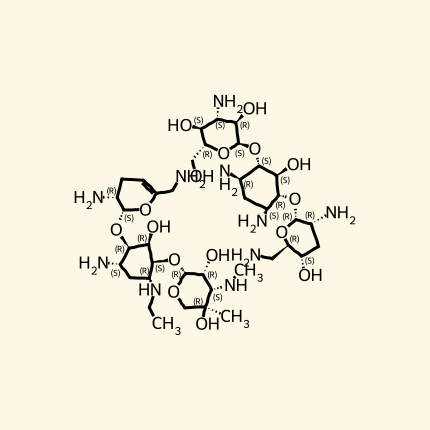 CCN[C@@H]1C[C@H](N)[C@@H](O[C@H]2OC(CN)=CC[C@H]2N)[C@@H](O)[C@H]1O[C@H]1OC[C@](C)(O)[C@@H](NC)[C@H]1O.NC[C@H]1O[C@H](O[C@H]2[C@H](O)[C@@H](O[C@H]3O[C@H](CO)[C@@H](O)[C@H](N)[C@H]3O)[C@H](N)C[C@@H]2N)[C@H](N)C[C@@H]1O